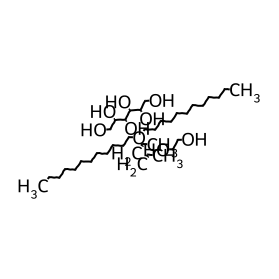 C=CC.C=CC.CCCCCCCCCCCCOCCCCCCCCCCCC.OCCO.OC[C@@H](O)[C@@H](O)[C@H](O)[C@@H](O)CO